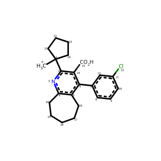 CC1(c2nc3c(c(-c4cccc(Cl)c4)c2C(=O)O)CCCCC3)CCCC1